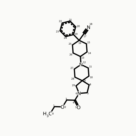 CCOCC(=O)N1CCC2(CCN(C3CCC(C#N)(c4ccccc4)CC3)CC2)C1